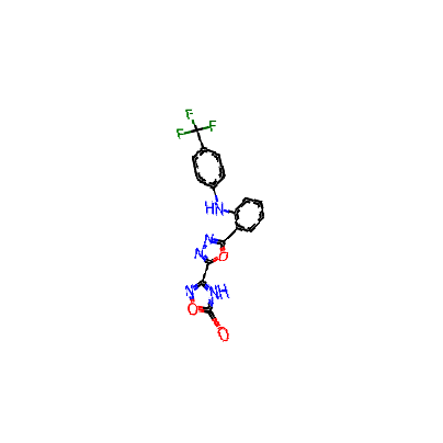 O=c1[nH]c(-c2nnc(-c3ccccc3Nc3ccc(C(F)(F)F)cc3)o2)no1